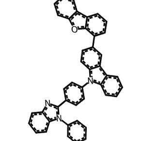 c1ccc(-n2c(-c3ccc(-n4c5ccccc5c5cc(-c6cccc7c6oc6ccccc67)ccc54)cc3)nc3ccccc32)cc1